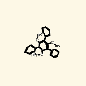 CCCOc1c(-c2ccccc2)c(OCCC)c(-c2ccccc2)c(OCCC)c1-c1ccccc1